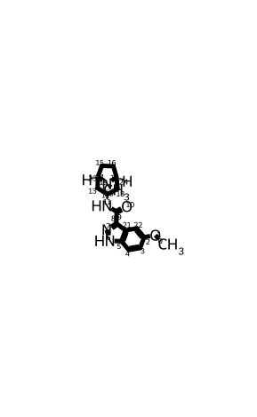 COc1ccc2[nH]nc(C(=O)N[C@@H]3C[C@H]4CC[C@@H](C3)N4C)c2c1